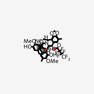 COc1cc2c(cc1O)CCN[C@]21CS[C@@H]2c3c(OC(=O)C(F)(F)C(F)(F)C(F)(F)F)c(C)c4c(c3[C@H](COC1=O)N1C2C2N[C@@H](Cc3cc(C)c(OC)c(O)c32)[C@@H]1C#N)OCO4